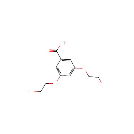 O=C(O)c1cc(OCCO)cc(OCCO)c1